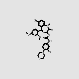 COc1ncc(C2=NC(NC(=S)Nc3ccc(N4CCOCC4)c(Cl)c3)C(=O)N(C)c3ccc(Cl)cc32)c(OC)n1